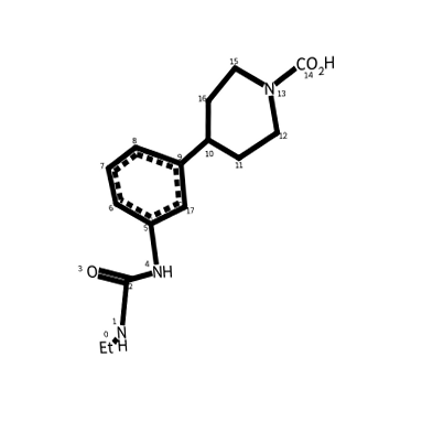 CCNC(=O)Nc1cccc(C2CCN(C(=O)O)CC2)c1